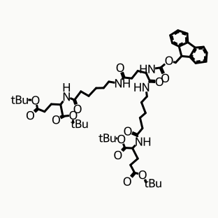 CC(C)(C)OC(=O)CCC(NC(=O)CCCCCNC(=O)CCC(NC(=O)OCC1c2ccccc2-c2ccccc21)C(=O)NCCCCCC(=O)NC(CCC(=O)OC(C)(C)C)C(=O)OC(C)(C)C)C(=O)OC(C)(C)C